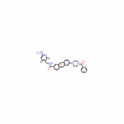 Cc1cc(N)nc(C)c1CNC(=O)c1ccc2c(c1)C1OC2c2cc(N3CCN(C(=O)c4ccccc4)CC3)ccc21